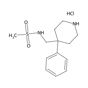 CS(=O)(=O)NCC1(c2ccccc2)CCNCC1.Cl